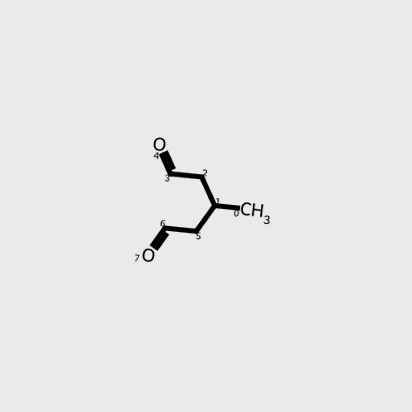 CC(CC=O)CC=O